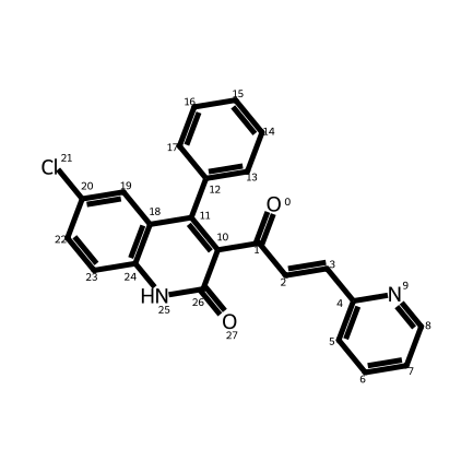 O=C(C=Cc1ccccn1)c1c(-c2ccccc2)c2cc(Cl)ccc2[nH]c1=O